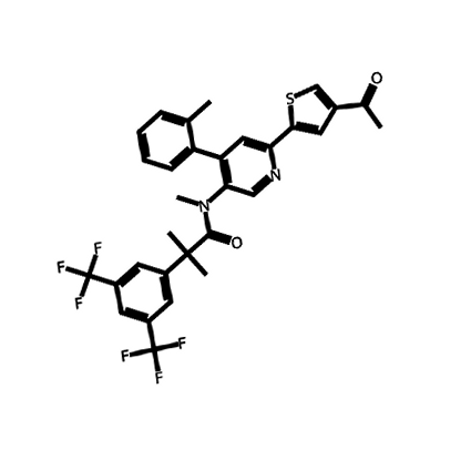 CC(=O)c1csc(-c2cc(-c3ccccc3C)c(N(C)C(=O)C(C)(C)c3cc(C(F)(F)F)cc(C(F)(F)F)c3)cn2)c1